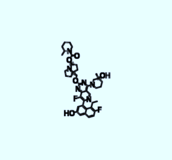 CCc1c(F)ccc2cc(O)cc(-c3ncc4c(N5CCC[C@@](C)(O)C5)nc(OC[C@@]56CCCN5[C@@H](OC(=O)N5CCCCC5C)CC6)nc4c3F)c12